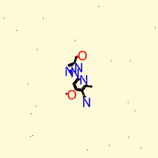 COc1cc(-n2ncc(C=O)n2)nc(C)c1C#N